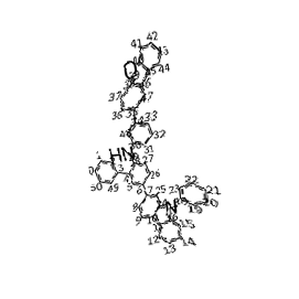 c1ccc(-c2cc(-c3ccc4c5ccccc5n(-c5ccccc5)c4c3)ccc2Nc2cccc(-c3ccc4oc5ccccc5c4c3)c2)cc1